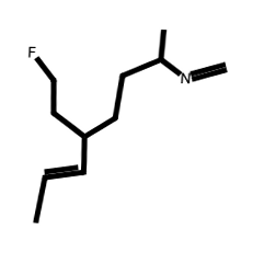 C=NC(C)CCC(/C=C/C)CCF